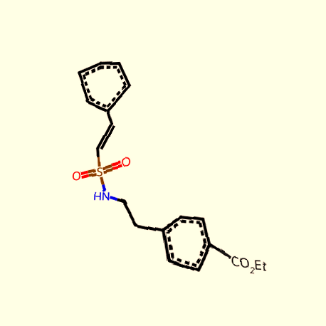 CCOC(=O)c1ccc(CCNS(=O)(=O)C=Cc2ccccc2)cc1